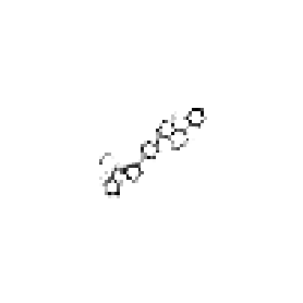 c1ccc2c(c1)Oc1ccc(-c3ccc(-c4ccc5c(c4)C4(CCCCC4)c4ccccc4-5)cc3)c3cccc-2c13